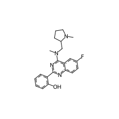 CN(CC1CCCN1C)c1nc(-c2ccccc2O)nc2ccc(F)cc12